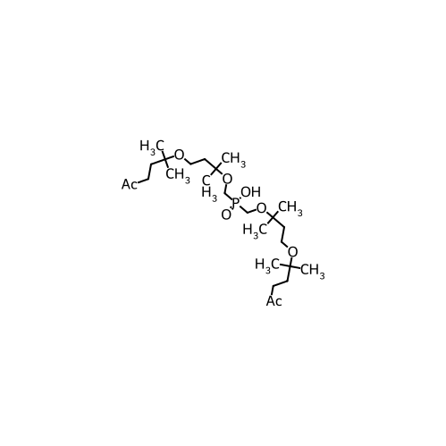 CC(=O)CCC(C)(C)OCCC(C)(C)OCP(=O)(O)COC(C)(C)CCOC(C)(C)CCC(C)=O